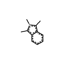 Cc1c2ccccc2c(C)n1C